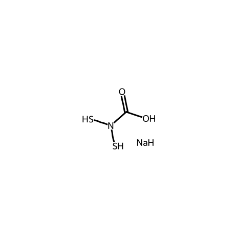 O=C(O)N(S)S.[NaH]